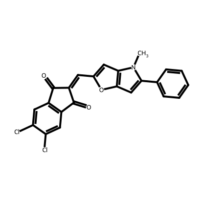 Cn1c(-c2ccccc2)cc2oc(C=C3C(=O)c4cc(Cl)c(Cl)cc4C3=O)cc21